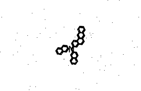 c1ccc2cc(N(c3ccc4ccccc4c3)c3ccc4c(ccc5cc6ccccc6cc54)c3)ccc2c1